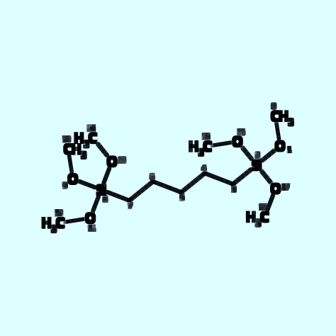 CO[Si](CCCCC[Si](OC)(OC)OC)(OC)OC